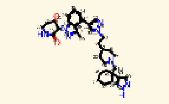 [2H][C@]1(C2(CN3CCC(CCn4cc(-c5cccc6c5c(C)nn6C5C(=O)CCNC5=O)cn4)CC3)CCCCC2)C=NNC1